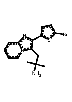 CC(C)(N)Cc1c(-c2ccc(Br)s2)nc2ccccn12